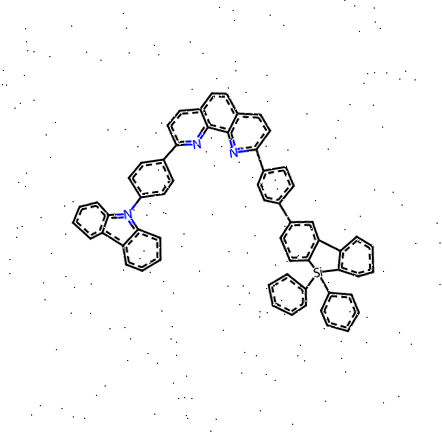 c1ccc([Si]2(c3ccccc3)c3ccccc3-c3cc(-c4ccc(-c5ccc6ccc7ccc(-c8ccc(-n9c%10ccccc%10c%10ccccc%109)cc8)nc7c6n5)cc4)ccc32)cc1